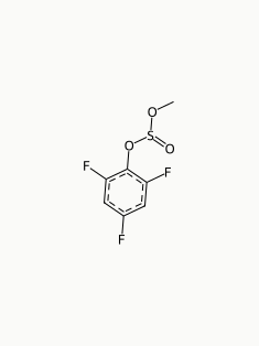 COS(=O)Oc1c(F)cc(F)cc1F